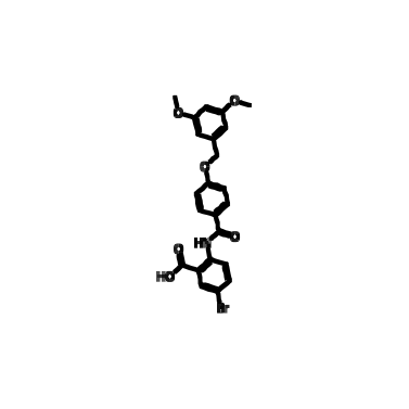 COc1cc(COc2ccc(C(=O)Nc3ccc(Br)cc3C(=O)O)cc2)cc(OC)c1